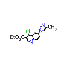 CCOC(=O)c1cnc2ccc(-n3cnc(C)c3)cc2c1Cl